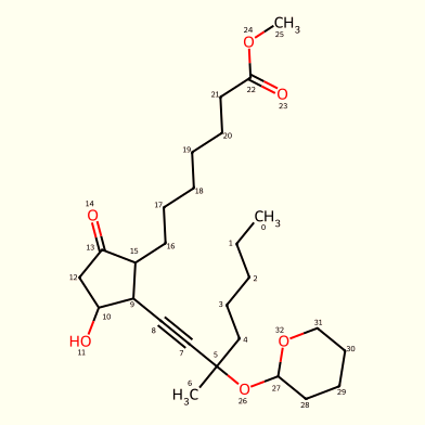 CCCCCC(C)(C#CC1C(O)CC(=O)C1CCCCCCC(=O)OC)OC1CCCCO1